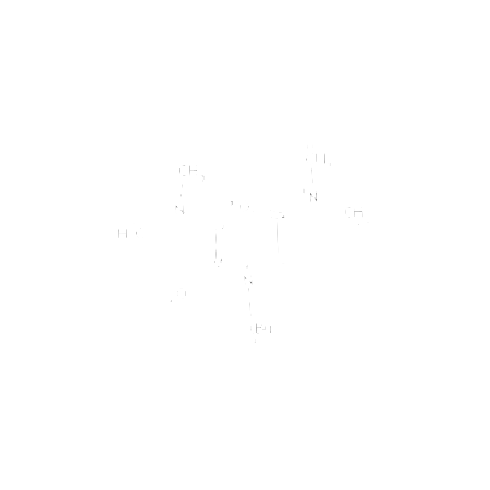 CN(C)CC(=O)N(CC(=O)N(C)C)C(C)(C)C